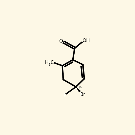 CC1=C(C(=O)O)C=C[C@](Br)(I)C1